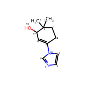 CC1(C)CCC(n2ccnc2)=CC1O